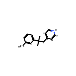 CCCc1cccc(C(C)(C)Cc2ccncc2)c1